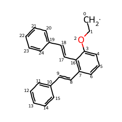 [CH2]COc1cccc(C=Cc2ccccc2)c1C=Cc1ccccc1